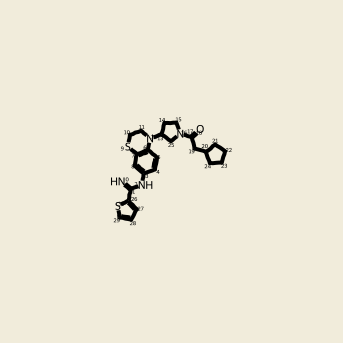 N=C(Nc1ccc2c(c1)SCCN2C1CCN(C(=O)CC2CCCC2)C1)c1cccs1